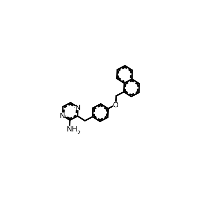 Nc1nccnc1Cc1ccc(OCc2cccc3ccccc23)cc1